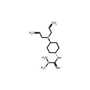 C=CCN(CC=C)[C@H]1CC[C@H](NC(=N)N(C)N)CC1